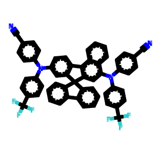 N#Cc1ccc(N(c2ccc(C(F)(F)F)cc2)c2ccc3c(c2)C2(c4ccccc4-c4ccccc42)c2cc(N(c4ccc(C#N)cc4)c4ccc(C(F)(F)F)cc4)c4ccccc4c2-3)cc1